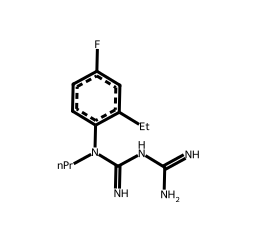 CCCN(C(=N)NC(=N)N)c1ccc(F)cc1CC